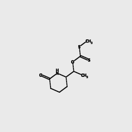 CSC(=S)OC(C)C1CCCC(=O)N1